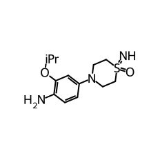 CC(C)Oc1cc(N2CCS(=N)(=O)CC2)ccc1N